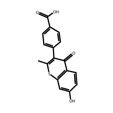 Cc1sc2cc(O)ccc2c(=O)c1-c1ccc(C(=O)O)cc1